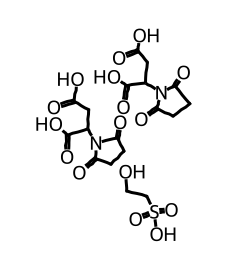 O=C(O)CC(C(=O)O)N1C(=O)CCC1=O.O=C(O)CC(C(=O)O)N1C(=O)CCC1=O.O=S(=O)(O)CCO